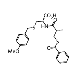 COc1ccc(CSC[C@H](NC(=O)[C@H](C)CSC(=O)c2ccccc2)C(=O)O)cc1